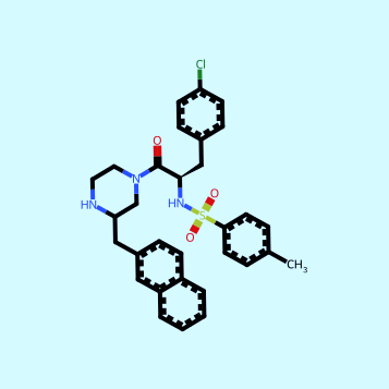 Cc1ccc(S(=O)(=O)N[C@H](Cc2ccc(Cl)cc2)C(=O)N2CCNC(Cc3ccc4ccccc4c3)C2)cc1